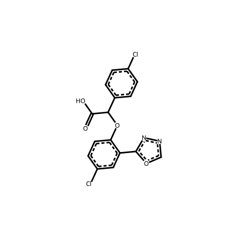 O=C(O)C(Oc1ccc(Cl)cc1-c1nnco1)c1ccc(Cl)cc1